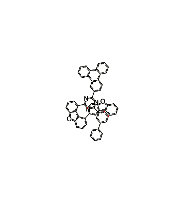 c1ccc(-c2cccc(-c3nc(-c4ccc5c6ccccc6c6ccccc6c5c4)nc(-c4cccc5oc6cccc(-c7ccc8oc9ccccc9c8c7)c6c45)n3)c2)cc1